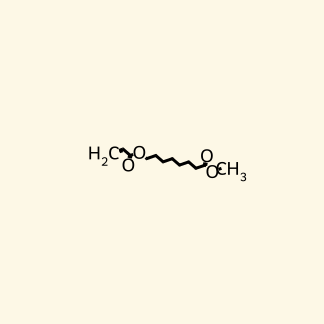 C=CC(=O)OCCCCCCCC(=O)OC